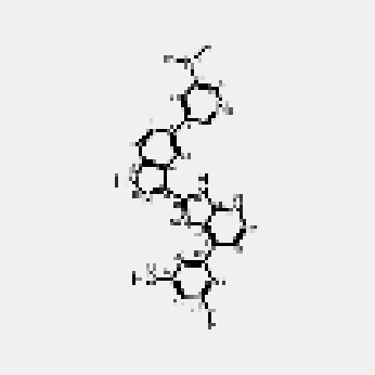 CN(C)c1cncc(-c2ccc3[nH]nc(-c4nc5c(-c6cc(O)cc(F)c6)ccnc5[nH]4)c3c2)c1